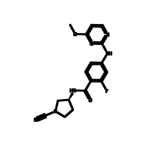 COc1ccnc(Nc2ccc(C(=O)N[C@@H]3CCN(C#N)C3)c(F)c2)n1